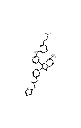 CN(C)CCc1cccc(Nc2nccc(-c3c(-c4cccc(NC(=O)Cc5cccs5)c4)nc4ccc(C(F)(F)F)cn34)n2)c1